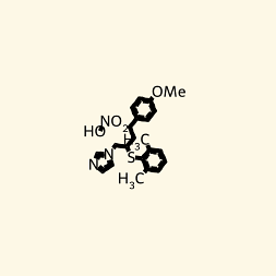 COc1ccc(CCC(Cn2ccnc2)Sc2c(C)cccc2C)cc1.O=[N+]([O-])O